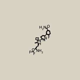 C=C(/C=C\C=C(/N)OC(F)F)C1(Nc2ccc(-c3cc(C(N)=O)ccc3F)nn2)CCC1